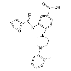 Cc1ccccc1N1CCN(c2ccc(C(=O)O)cc2N(C)C(=O)c2ccco2)CC1